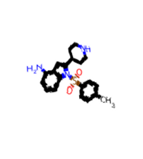 Cc1ccc(S(=O)(=O)n2c(C3CCNCC3)cc3c(N)cccc32)cc1